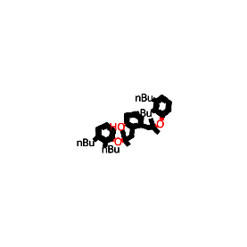 CCCCc1cccc(OC(C)(C)Cc2cccc(O)c2CC(C)(C)Oc2cccc(CCCC)c2CCCC)c1CCCC